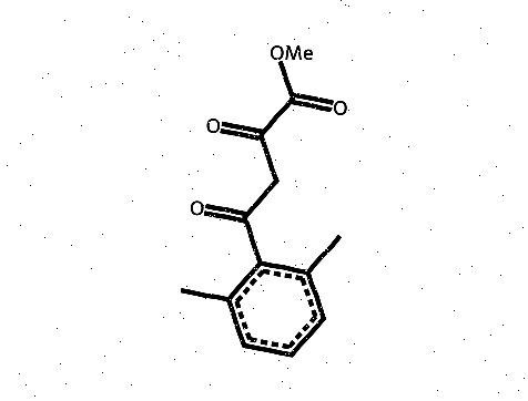 COC(=O)C(=O)CC(=O)c1c(C)cccc1C